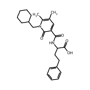 Cc1cc(C(=O)NC(CCc2ccccc2)C(=O)O)c(=O)n(CC2CCCCC2)c1C